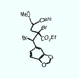 CCOC(=O)C(Br)(CC(OC)OC)C(Br)c1ccc2c(c1)OCO2